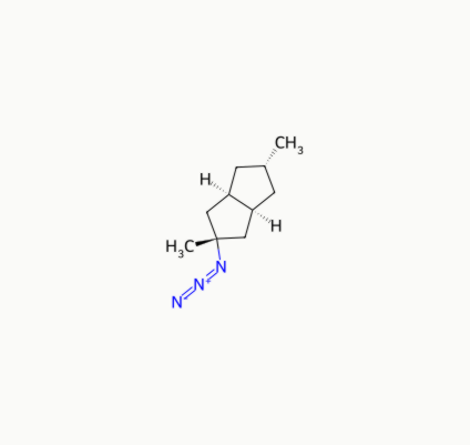 C[C@H]1C[C@@H]2C[C@@](C)(N=[N+]=[N-])C[C@@H]2C1